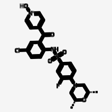 C[C@@H]1CN(c2ccc(S(=O)(=O)Nc3ccc(Cl)cc3C(=O)c3cc[n+](O)cc3)cc2F)C[C@H](C)O1